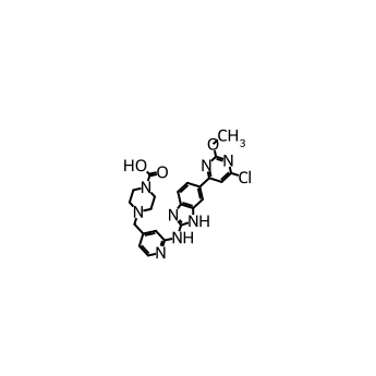 COc1nc(Cl)cc(-c2ccc3nc(Nc4cc(CN5CCN(C(=O)O)CC5)ccn4)[nH]c3c2)n1